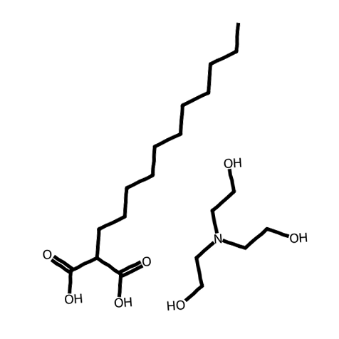 CCCCCCCCCCCC(C(=O)O)C(=O)O.OCCN(CCO)CCO